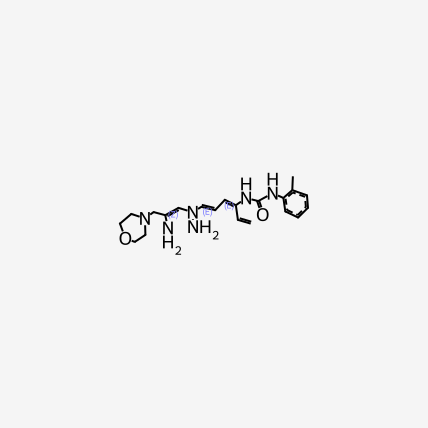 C=C/C(=C\C=C\N(N)/C=C(\N)CN1CCOCC1)NC(=O)Nc1ccccc1C